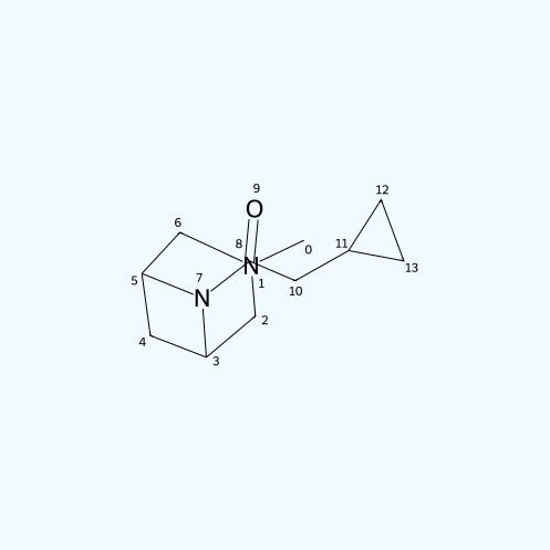 CN1CC2CC(C1)N2C(=O)CC1CC1